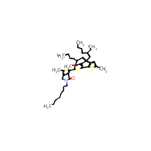 CCCCCCCCN1Cc2c(C)sc(-c3cc4c(s3)-c3sc(C)cc3C4(CC(CC)CCCC)CC(CC)CCCC)c2C1=O